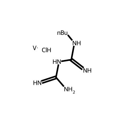 CCCCNC(=N)NC(=N)N.Cl.[V]